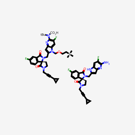 CC(C)(C)N(C(=O)O)c1nc2cc(CN3C(=O)c4cc(F)ccc4[C@]34CCN(CC#CC3CC3)C4=O)n(COCC[Si](C)(C)C)c2cc1F.Nc1nc2cc(CN3C(=O)c4cc(F)ccc4[C@]34CCN(CC#CC3CC3)C4=O)[nH]c2cc1F